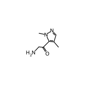 Cc1cnn(C)c1C(=O)CN